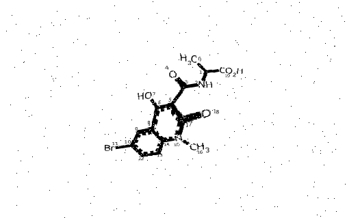 CC(NC(=O)c1c(O)c2cc(Br)ccc2n(C)c1=O)C(=O)O